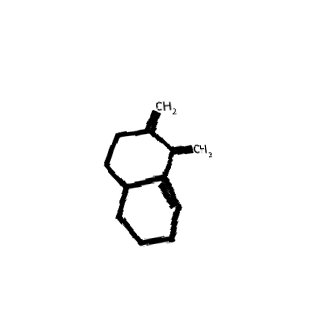 C=C1CCC2CCCC=C2C1=C